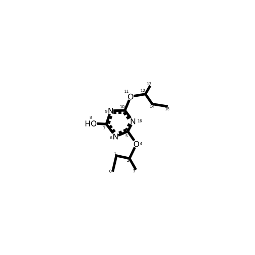 CCC(C)Oc1nc(O)nc(OC(C)CC)n1